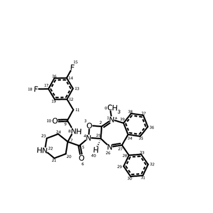 C[N+]1=C2ON(C(=O)C3(NC(=O)Cc4cc(F)cc(F)c4)CCNCC3)[C@@H]2N=C(c2ccccc2)c2ccccc21